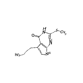 CSc1nc2[nH]cc(CCO)c2c(=O)[nH]1